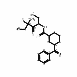 CC(C)CC(NC(=O)C1CCCC(C(=O)c2ccccc2)C1)C(=O)C(C)(O)CO